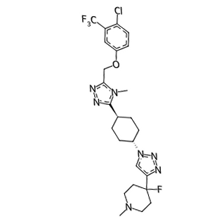 CN1CCC(F)(c2cn([C@H]3CC[C@H](c4nnc(COc5ccc(Cl)c(C(F)(F)F)c5)n4C)CC3)nn2)CC1